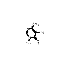 CCn1cnc(SC)c(C#N)c1=O